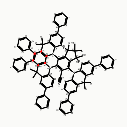 CC1(C)c2cc(-c3ccccc3)ccc2N(c2c(C#N)c(N3c4ccc(-c5ccccc5)cc4C(C)(C)c4cc(-c5ccccc5)ccc43)c3c(c2N2c4ccc(-c5ccccc5)cc4C(C)(C)c4cc(-c5ccccc5)ccc42)C(F)(F)C(C)(C)C3(F)F)c2ccc(-c3ccccc3)cc21